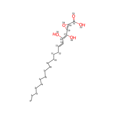 CCCCCCCCCCCCCC=CC(O)=C(O)C1=C(C(=O)O)O1